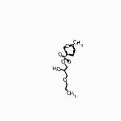 C=CCOCC(O)COS(=O)(=O)c1ccc(C)cc1